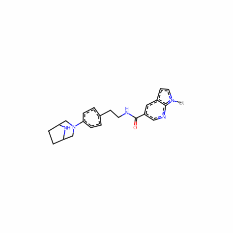 CCn1ccc2cc(C(=O)NCCc3ccc(N4CC5CCC(C4)N5)cc3)cnc21